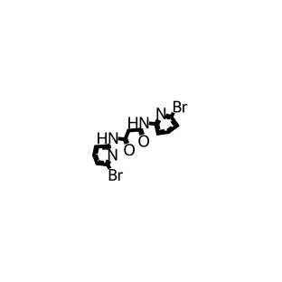 O=C(CC(=O)Nc1cccc(Br)n1)Nc1cccc(Br)n1